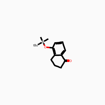 CC(C)(C)[Si](C)(C)Oc1cccc2c1CCCC2=O